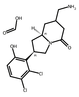 NCC1CC(=O)N2C[C@@H](c3c(O)ccc(Cl)c3Cl)C[C@H]2C1.O=CO